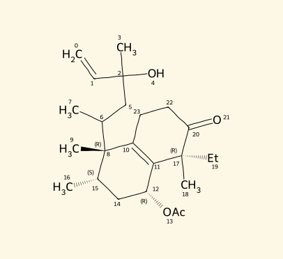 C=CC(C)(O)CC(C)[C@]1(C)C2=C([C@H](OC(C)=O)C[C@@H]1C)[C@@](C)(CC)C(=O)CC2